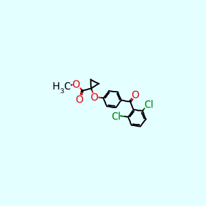 COC(=O)C1(Oc2ccc(C(=O)c3c(Cl)cccc3Cl)cc2)CC1